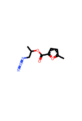 Cc1ccc(C(=O)OC(C)CN=[N+]=[N-])o1